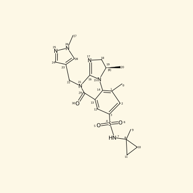 Cc1cc(S(=O)(=O)NC2(C)CC2)cc2c1N1C(=NC[C@H]1C)N(Cc1cnn(C)c1)C2=O